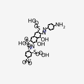 Nc1ccc(/N=N/c2c(SOOO)cc3cc(S(=O)(=O)O)c(/N=N/c4ccc([N+](=O)[O-])cc4SOOO)c(O)c3c2O)cc1